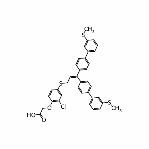 CSc1cccc(-c2ccc(C(=CCSc3ccc(OCC(=O)O)c(Cl)c3)c3ccc(-c4cccc(SC)c4)cc3)cc2)c1